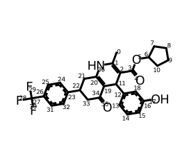 CC1=C(C(=O)OC2CCCC2)C(c2cccc(O)c2)C2=C(CC(c3ccc(C(F)(F)F)cc3)CC2=O)N1